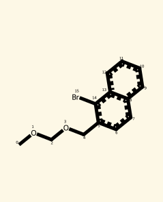 COCOCc1ccc2ccccc2c1Br